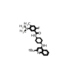 Cc1cc(F)c(C(=O)NC2CCC(Nc3cc(C(C)(C)C)nc4ccccc34)CC2)cc1N(C)C